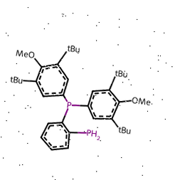 COc1c(C(C)(C)C)cc(P(c2cc(C(C)(C)C)c(OC)c(C(C)(C)C)c2)c2ccccc2P)cc1C(C)(C)C